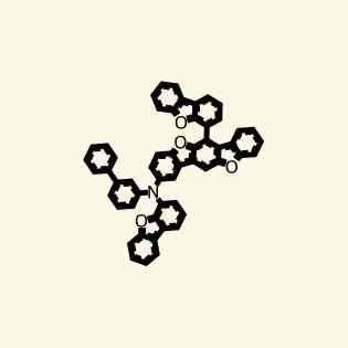 c1ccc(-c2cccc(N(c3ccc4oc5c(-c6cccc7c6oc6ccccc67)c6c(cc5c4c3)oc3ccccc36)c3cccc4c3oc3ccccc34)c2)cc1